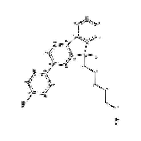 CC1(CCCCCCBr)c2ccccc2-c2ccc(-c3ccc(Br)cc3)cc21